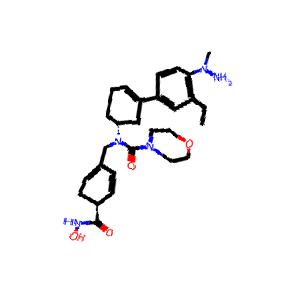 CCc1cc(C2=CCC[C@@H](N(CC3=CC[C@H](C(=O)NO)C=C3)C(=O)N3CCOCC3)C2)ccc1N(C)N